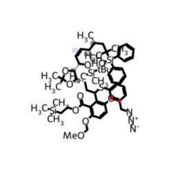 COCOc1ccc(OCCN=[N+]=[N-])c(C(CC[C@@H]2OC(C)(C)O[C@@H]2C(/C=C\[C@@H](C)[C@H](C)CC(C)(C)[Si](O)(c2ccccc2)c2ccccc2)O[Si](C)(C)C(C)(C)C)Sc2ccccc2)c1C(=O)OCC[Si](C)(C)C